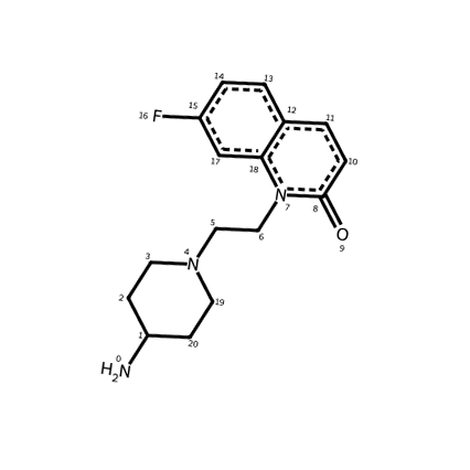 NC1CCN(CCn2c(=O)ccc3ccc(F)cc32)CC1